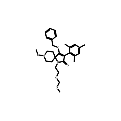 COCOCCN1C(=O)C(c2c(C)cc(C)cc2C)=C(OCc2ccccc2)C12CCN(OC)CC2